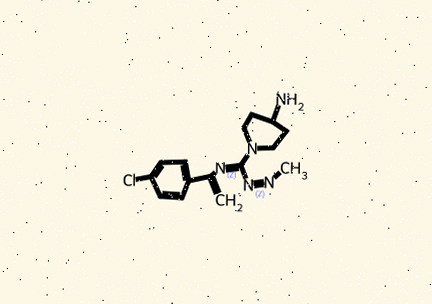 C=C(/N=C(\N=N/C)N1CCC(N)CC1)c1ccc(Cl)cc1